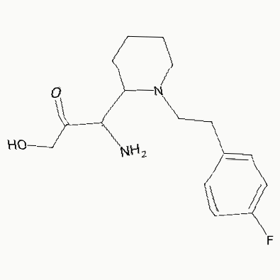 N[C](C(=O)CO)C1CCCCN1CCc1ccc(F)cc1